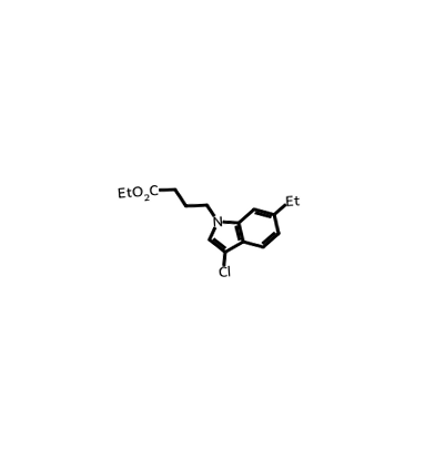 CCOC(=O)CCCn1cc(Cl)c2ccc(CC)cc21